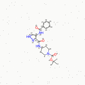 CC(C)(C)OC(=O)N1CCC(NC(=O)c2n[nH]cc2NC(=O)c2ccccc2)CC1